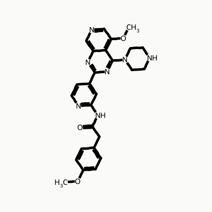 COc1ccc(CC(=O)Nc2cc(-c3nc(N4CCNCC4)c4c(OC)cncc4n3)ccn2)cc1